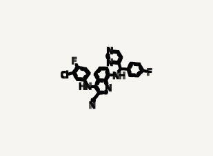 N#Cc1cnc2c(NC(c3ccc(F)cc3)c3ccncn3)cccc2c1Nc1ccc(F)c(Cl)c1